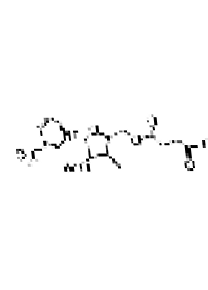 COC(=O)CCC(=O)OC[C@H]1O[C@@H]([n+]2cccc(C(=O)O)c2)[C@H](OC(C)=O)[C@@H]1C